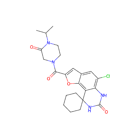 CC(C)N1CCN(C(=O)c2cc3cc(Cl)c4c(c3o2)C2(CCCCC2)NC(=O)N4)CC1=O